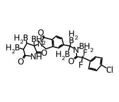 BC1C(=O)NC(=O)[C@@](B)(N2Cc3cc(C(B)(B)N(B)C(=O)C(F)(F)c4ccc(Cl)cc4)ccc3C2=O)C1B